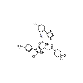 Nc1ccc(-c2nc(C(CC(=O)N3CCS(=O)(=O)CC3)NC(=O)/C=C/c3cc(Cl)ccc3-n3cnnn3)[nH]c2Cl)cc1